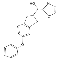 OC(c1ncco1)C1Cc2ccc(Oc3ccccc3)cc2C1